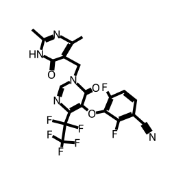 Cc1nc(C)c(Cn2cnc(C(F)(F)C(F)(F)F)c(Oc3c(F)ccc(C#N)c3F)c2=O)c(=O)[nH]1